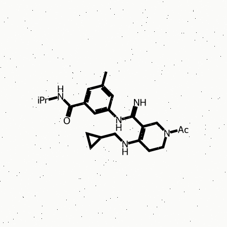 CC(=O)N1CCC(NCC2CC2)=C(C(=N)Nc2cc(C)cc(C(=O)NC(C)C)c2)C1